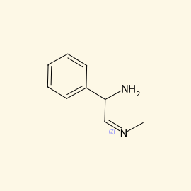 C/N=C\C(N)c1ccccc1